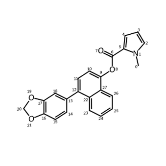 Cn1cccc1C(=O)Oc1ccc(-c2ccc3c(c2)OCO3)c2ccccc12